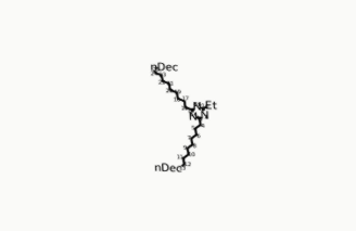 [CH2]Cc1nc(CCCCCCCCCCCCCCCCCCC)nc(CCCCCCCCCCCCCCCCCCC)n1